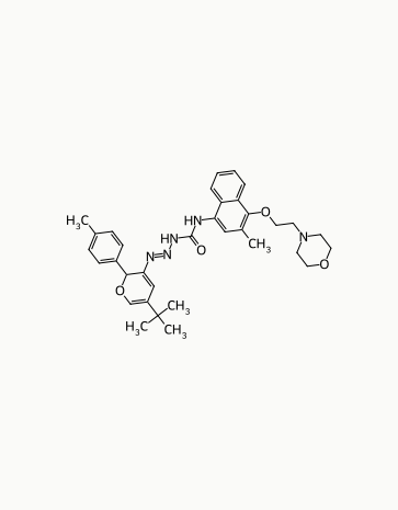 Cc1ccc(C2OC=C(C(C)(C)C)C=C2N=NNC(=O)Nc2cc(C)c(OCCN3CCOCC3)c3ccccc23)cc1